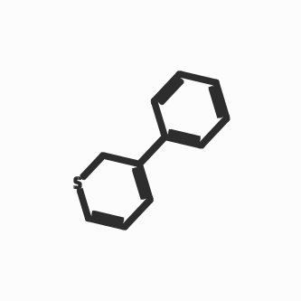 C1=CSCC(c2ccccc2)=C1